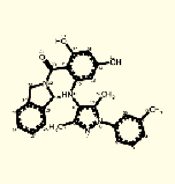 Cc1cccc(-n2nc(C)c(Nc3cc(O)cc(O)c3C(=O)N3Cc4ccccc4C3)c2C)c1